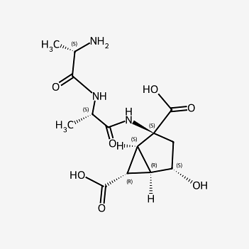 C[C@H](N)C(=O)N[C@@H](C)C(=O)N[C@@]1(C(=O)O)C[C@H](O)[C@H]2[C@H](C(=O)O)[C@H]21